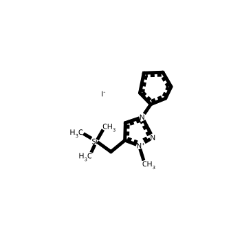 C[n+]1nn(-c2ccccc2)cc1C[Si](C)(C)C.[I-]